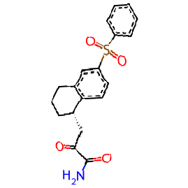 NC(=O)C(=O)C[C@@H]1CCCc2cc(S(=O)(=O)c3ccccc3)ccc21